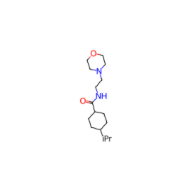 CC(C)C1CCC(C(=O)NCCN2CCOCC2)CC1